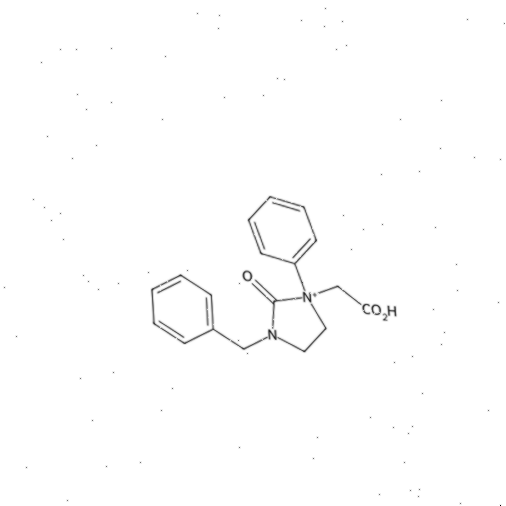 O=C(O)C[N+]1(c2ccccc2)CCN(Cc2ccccc2)C1=O